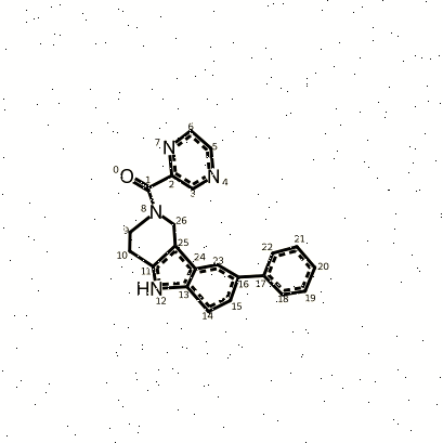 O=C(c1cnccn1)N1CCc2[nH]c3ccc(-c4ccccc4)cc3c2C1